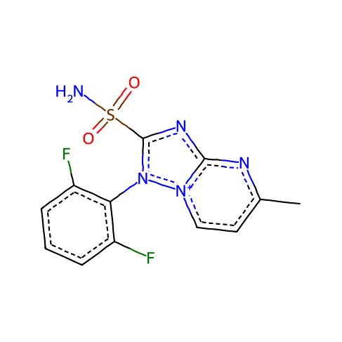 Cc1cc[n+]2c(n1)nc(S(N)(=O)=O)n2-c1c(F)cccc1F